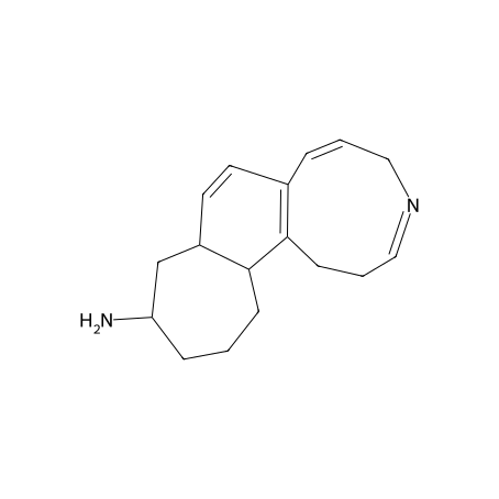 NC1CCCC2C3=C(C=CC2C1)/C=C\C/N=C\CC3